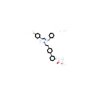 CC(C)OC(=O)Nc1cccc(-c2ccc(/C=C/c3nc(-c4ccc(Cl)cc4Cl)cn3Cc3ccc(C(=O)O)cc3)cc2)c1